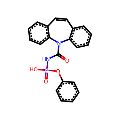 O=C(NP(=O)(O)Oc1ccccc1)N1c2ccccc2C=Cc2ccccc21